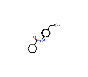 CC(C)(C)Cc1ccc(NC(=O)C2CCCCC2)cc1